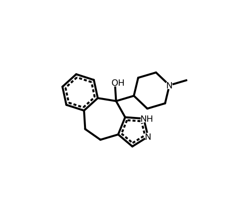 CN1CCC(C2(O)c3ccccc3CCc3cn[nH]c32)CC1